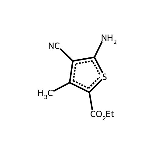 CCOC(=O)c1sc(N)c(C#N)c1C